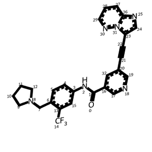 O=C(Nc1ccc(CN2CCCC2)c(C(F)(F)F)c1)c1cncc(C#Cc2cnc3cccnn23)c1